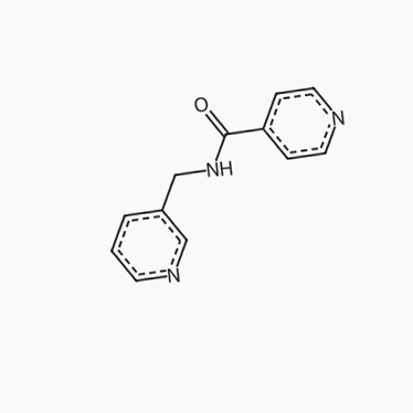 O=C(NCc1cccnc1)c1ccncc1